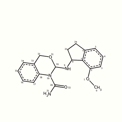 COc1cccc2c1C(NC1OCc3c[c]ccc3N1C(N)=O)CC2